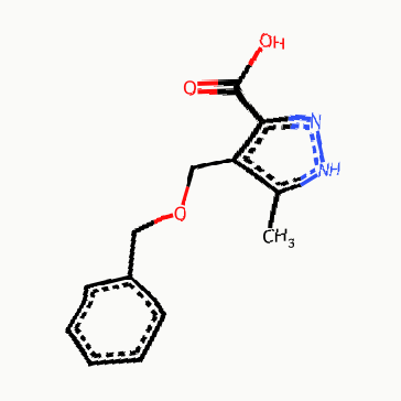 Cc1[nH]nc(C(=O)O)c1COCc1ccccc1